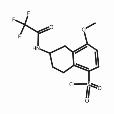 COc1ccc(S(=O)(=O)Cl)c2c1CC(NC(=O)C(F)(F)F)CC2